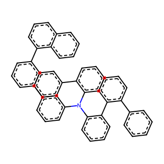 c1ccc(-c2ccccc2-c2ccccc2N(c2cccc(-c3cccc(-c4cccc5ccccc45)c3)c2)c2ccccc2-c2ccccc2)cc1